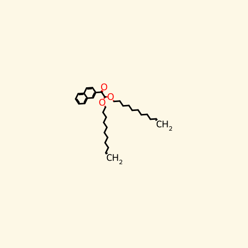 C=CCCCCCCCCCOC(OCCCCCCCCCC=C)C(=O)c1ccc2ccccc2c1